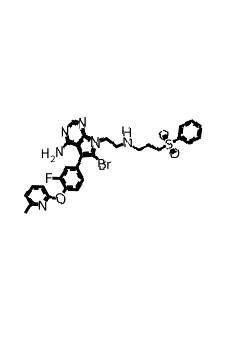 Cc1cccc(Oc2ccc(-c3c(Br)n(CCNCCCS(=O)(=O)c4ccccc4)c4ncnc(N)c34)cc2F)n1